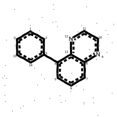 c1ccc(-c2cccc3nccnc23)cc1